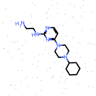 NCCNc1nccc(N2CCN(C3CCCCC3)CC2)n1